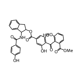 COC(=O)c1cccc(O)c1C(=O)c1c(O)cc(C(=O)OC2Cc3ccccc3C2NC(=O)c2ccc(O)cc2)cc1O